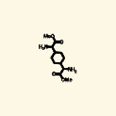 COC(=O)C(N)C1CCC(C(N)C(=O)OC)CC1